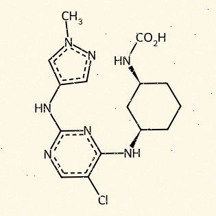 Cn1cc(Nc2ncc(Cl)c(N[C@@H]3CCC[C@H](NC(=O)O)C3)n2)cn1